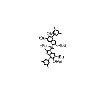 COc1c(C(C)(C)C)cc2c(c1-c1cc(C)cc(C)c1)C=C(CC(C)(C)C)C2[Si](C)(C)C1C(CC(C)(C)C)=Cc2c1cc(C(C)(C)C)c(OC)c2-c1cc(C)cc(C)c1